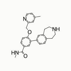 CNC(=O)c1ccc(OCc2cc(C)ccn2)c(-c2ccc3c(c2)CCNCC3)c1